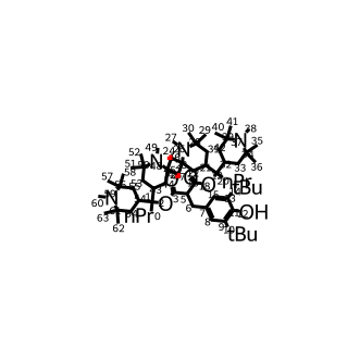 CCCC(OC(=O)C(Cc1cc(C(C)(C)C)c(O)c(C(C)(C)C)c1)C(=O)OC(CCC)(C1CC(C)(C)N(C)C(C)(C)C1)C1CC(C)(C)N(C)C(C)(C)C1)(C1CC(C)(C)N(C)C(C)(C)C1)C1CC(C)(C)N(C)C(C)(C)C1